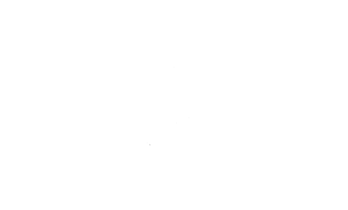 COc1ccc(-c2ccc(C=NO)o2)cc1Cl